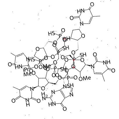 COC1C(OP(=O)(S)OC[C@H]2O[C@@H](n3cc(C)c(=O)[nH]c3=O)C(OC)C2OP(=O)(S)OC[C@H]2O[C@@H](n3cc(C)c(=O)[nH]c3=O)C(OC)C2OP(=O)(S)OCCCO)[C@@H](COP(=O)(S)OC2C[C@H](n3cc(C)c(=O)[nH]c3=O)O[C@@H]2COP(=O)(S)OC2C[C@H](n3cnc4c(=O)[nH]c(N)nc43)O[C@@H]2COP(=O)(S)OC(C)C)O[C@H]1n1cc(C)c(=O)[nH]c1=O